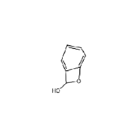 OC1Oc2ccccc21